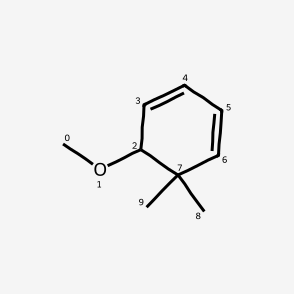 COC1C=CC=CC1(C)C